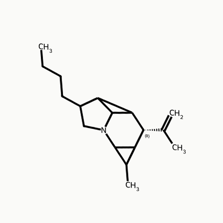 C=C(C)[C@@H]1C2C(C)C2N2CC(CCCC)C3C1C32